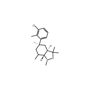 Cc1c(Cl)cccc1[C@]1(C)CC(C)[C@@H]2[C@@H](C1)C(C)(C)ON2C